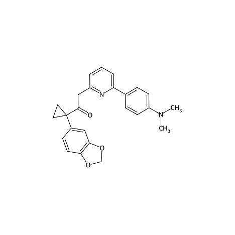 CN(C)c1ccc(-c2cccc(CC(=O)C3(c4ccc5c(c4)OCO5)CC3)n2)cc1